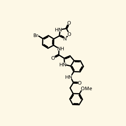 COc1ccccc1CC(=O)Nc1cccc2cc(C(=O)Nc3ccc(Br)cc3-c3noc(=O)[nH]3)[nH]c12